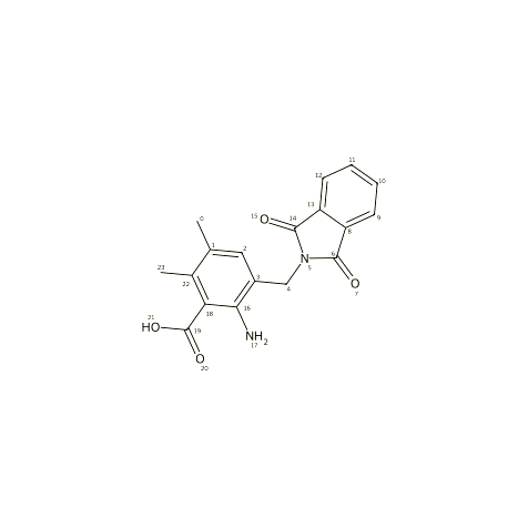 Cc1cc(CN2C(=O)c3ccccc3C2=O)c(N)c(C(=O)O)c1C